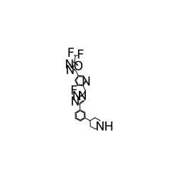 Fc1cc(-c2nnc(C(F)F)o2)cnc1Cn1cc(-c2cccc(C3CCNCC3)c2)nn1